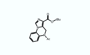 CC(=O)N1Cc2c(C(=O)OC(C)(C)C)ncn2-c2ccccc21